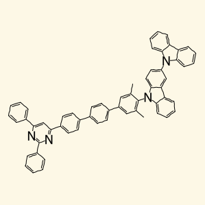 Cc1cc(-c2ccc(-c3ccc(-c4cc(-c5ccccc5)nc(-c5ccccc5)n4)cc3)cc2)cc(C)c1-n1c2ccccc2c2cc(-n3c4ccccc4c4ccccc43)ccc21